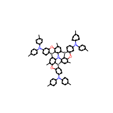 Cc1ccc(N(c2ccc(C)cc2)c2ccc3c(c2)Oc2c(C)cc4c5c2B3c2cc(C)c3c6c2N5c2c(cc(C)c5c2B4c2ccc(N(c4ccc(C)cc4)c4ccc(C)cc4)cc2O5)B6c2ccc(N(c4ccc(C)cc4)c4ccc(C)cc4)cc2O3)cc1